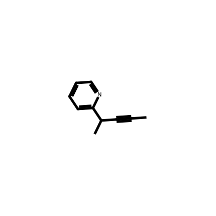 CC#CC(C)c1ccccn1